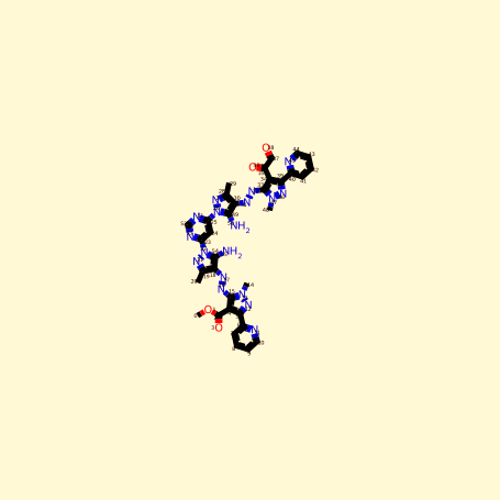 COC(=O)c1c(-c2ccccn2)nn(C)c1/N=N/c1c(C)nn(-c2cc(-n3nc(C)c(/N=N/c4c(C(=O)C=O)c(-c5ccccn5)nn4C)c3N)ncn2)c1N